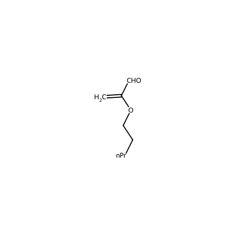 C=C(C=O)OCCCCC